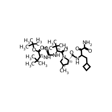 C[C@@H]1C[C@@H](C(=O)NC(CC2CCC2)C(=O)C(N)=O)N(C(=O)[C@@H](NC(=O)N[C@@H](C(=O)OC(C)(C)C)C(C)(C)C)C(C)(C)C)C1